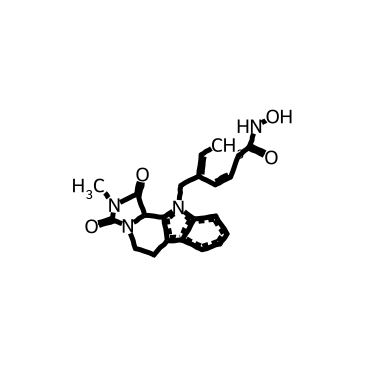 C/C=C(\C=C/CC(=O)NO)Cn1c2c(c3ccccc31)CCN1C(=O)N(C)C(=O)C21